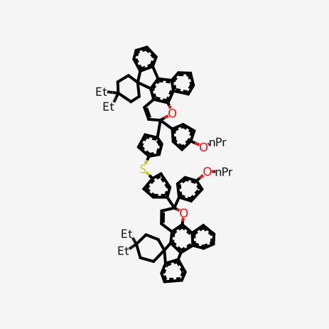 CCCOc1ccc(C2(c3ccc(Sc4ccc(C5(c6ccc(OCCC)cc6)C=Cc6c7c(c8ccccc8c6O5)-c5ccccc5C75CCC(CC)(CC)CC5)cc4)cc3)C=Cc3c4c(c5ccccc5c3O2)-c2ccccc2C42CCC(CC)(CC)CC2)cc1